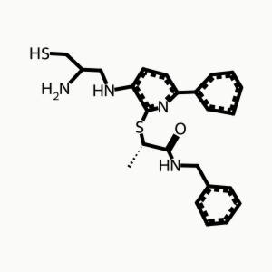 C[C@H](Sc1nc(-c2ccccc2)ccc1NCC(N)CS)C(=O)NCc1ccccc1